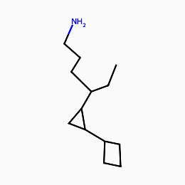 CCC(CCCN)C1CC1C1CCC1